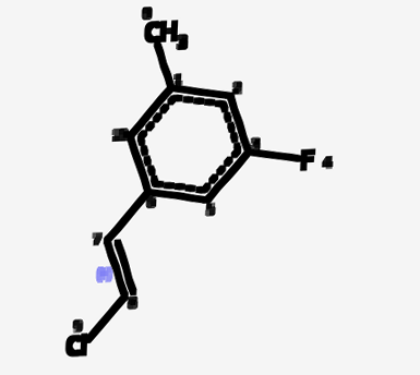 Cc1cc(F)cc(/C=C/Cl)c1